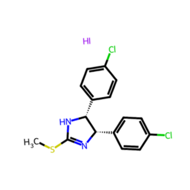 CSC1=N[C@@H](c2ccc(Cl)cc2)[C@@H](c2ccc(Cl)cc2)N1.I